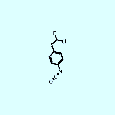 O=C=Nc1ccc(SC(F)Cl)cc1